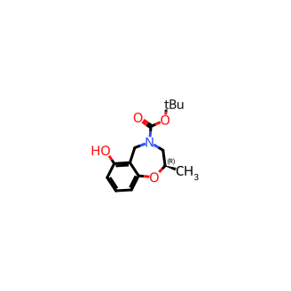 C[C@@H]1CN(C(=O)OC(C)(C)C)Cc2c(O)cccc2O1